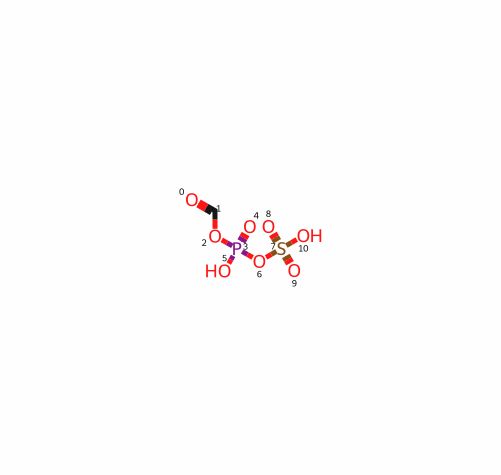 O=COP(=O)(O)OS(=O)(=O)O